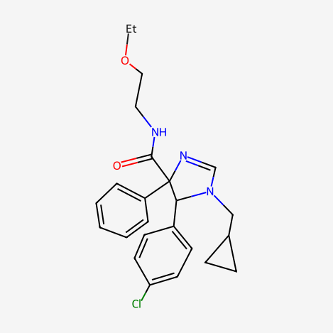 CCOCCNC(=O)C1(c2ccccc2)N=CN(CC2CC2)C1c1ccc(Cl)cc1